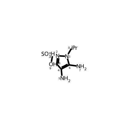 CC(C)n1ncc(N)c1N.O=S(=O)(O)O